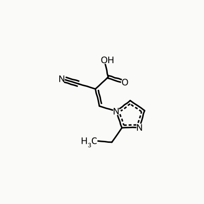 CCc1nccn1C=C(C#N)C(=O)O